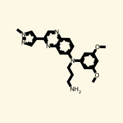 COc1cc(OC)cc(N(CCCN)c2ccc3ncc(-c4cnn(C)c4)nc3c2)c1